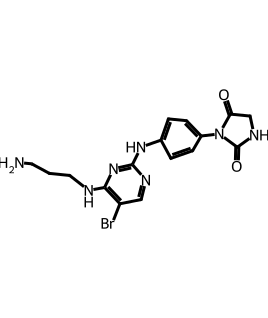 NCCCNc1nc(Nc2ccc(N3C(=O)CNC3=O)cc2)ncc1Br